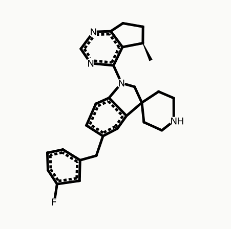 C[C@@H]1CCc2ncnc(N3CC4(CCNCC4)c4cc(Cc5cccc(F)c5)ccc43)c21